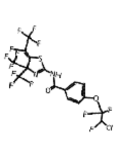 O=C(NC1=NC(C(F)(F)F)(C(F)(F)F)C(=C(F)C(F)(F)F)S1)c1ccc(OC(F)(F)C(F)Cl)cc1